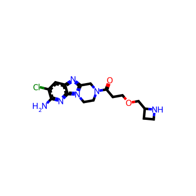 Nc1nc2c(cc1Cl)nc1n2CCN(C(=O)CCOCC2CCN2)C1